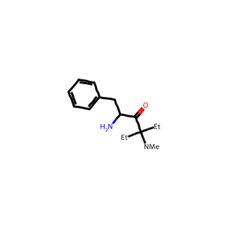 CCC(CC)(NC)C(=O)C(N)Cc1ccccc1